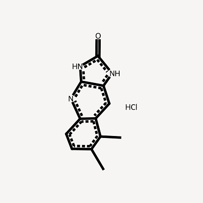 Cc1ccc2nc3[nH]c(=O)[nH]c3cc2c1C.Cl